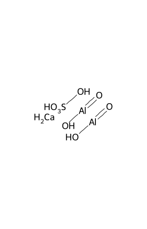 O=S(=O)(O)O.[CaH2].[O]=[Al][OH].[O]=[Al][OH]